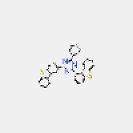 c1ccc(-c2nc(-c3ccc4sc5ccccc5c4c3)nc(-c3cccc4sc5ccccc5c34)n2)cc1